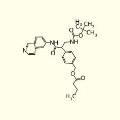 CCCC(=O)OCc1ccc(C(CNC(=O)OC(C)(C)C)C(=O)Nc2ccc3cnccc3c2)cc1